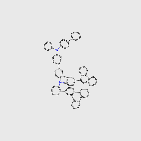 c1ccc(-c2ccc(N(c3ccccc3)c3ccc(-c4ccc5c(c4)c4cc(-c6cc7ccccc7c7ccccc67)ccc4n5-c4ccccc4-c4ccc5c6ccccc6c6ccccc6c5c4)cc3)cc2)cc1